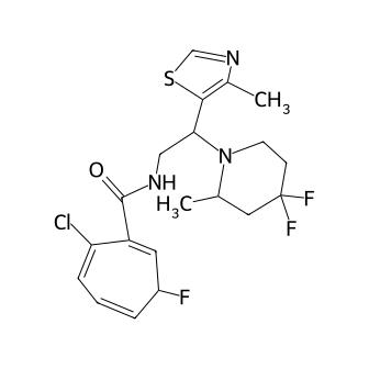 Cc1ncsc1C(CNC(=O)C1=CC(F)C=CC=C1Cl)N1CCC(F)(F)CC1C